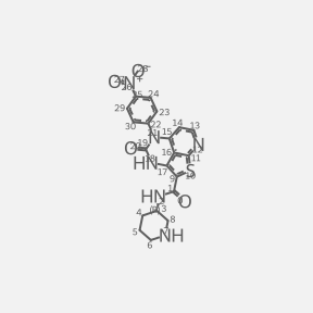 O=C(N[C@@H]1CCCNC1)c1sc2nccc3c2c1NC(=O)N3c1ccc([N+](=O)[O-])cc1